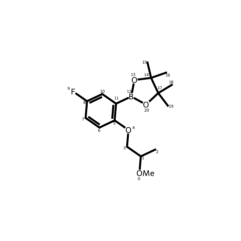 COC(C)COc1ccc(F)cc1B1OC(C)(C)C(C)(C)O1